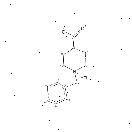 Cl.O=C(Cl)C1CCN(Cc2ccccc2)CC1